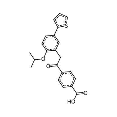 CC(C)Oc1ccc(-c2cccs2)cc1CC(=O)c1ccc(C(=O)O)cc1